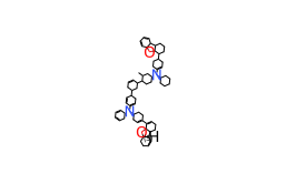 CC1CC(N(C2=CCC(C3CCCC4C5C=CC=CC5OC34)CC2)C2CCCCC2)CCC1C1C=CCC(C2C=CC(N(C3C=CC=CC3)C3CC=C(C4=CCCC5C4OC4CCC=C[C@H]45)CC3)=CC2)C1